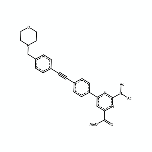 COC(=O)c1cc(-c2ccc(C#Cc3ccc(CN4CCOCC4)cc3)cc2)nc(N(C(C)=O)C(C)=O)n1